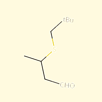 CC(CC=O)SCC(C)(C)C